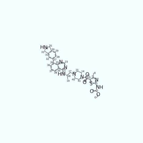 COC(=O)Nc1nc(C)c(S(=O)(=O)N2CCN(CC(C)Nc3ncnc4c(-c5ccc6c(c5)CNC6)cccc34)CC2)s1